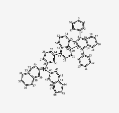 c1ccc(-c2c3c(c(-c4ccccc4)c4ccccc24)-c2ccc(-c4cccc(N(c5ccc6ccccc6c5)c5ccc6ccccc6c5)c4)c4cccc-3c24)cc1